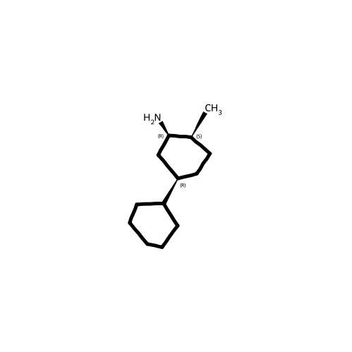 C[C@H]1CC[C@@H](C2CCCCC2)C[C@H]1N